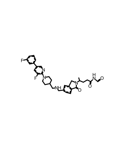 CC(CCC(=O)NC=O)N1Cc2cc(CNCC3CCN(c4ncc(-c5cccc(F)c5)cc4F)CC3)ccc2C1=O